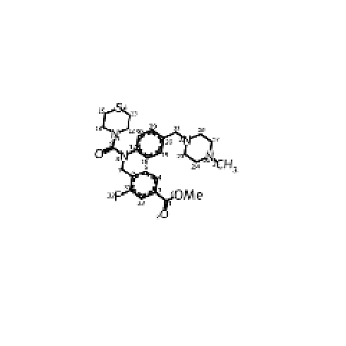 COC(=O)c1ccc(CN(C(=O)N2CCSCC2)c2ccc(CN3CCN(C)CC3)cc2)c(F)c1